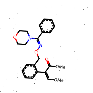 COC=C(C(=O)OC)c1ccccc1CON=C(c1ccccc1)N1CCOCC1